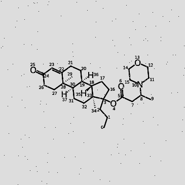 CCCC1(OC(=O)CC(C)N2CCOCC2)CC[C@H]2[C@@H]3CCC4=CC(=O)CC[C@]4(C)[C@@H]3CC[C@@]21C